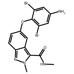 CNC(=O)c1c2cc(Oc3c(Br)cc(N)cc3Br)ccc2nn1C